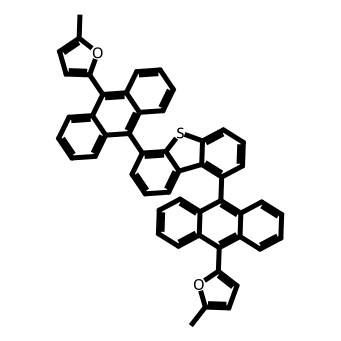 Cc1ccc(-c2c3ccccc3c(-c3cccc4c3sc3cccc(-c5c6ccccc6c(-c6ccc(C)o6)c6ccccc56)c34)c3ccccc23)o1